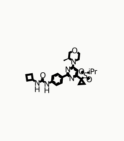 CC(C)S(=O)(=O)C1(c2cc(N3CCOC[C@@H]3C)nc(-c3ccc(NC(=O)NC4CCC4)cc3)n2)CC1